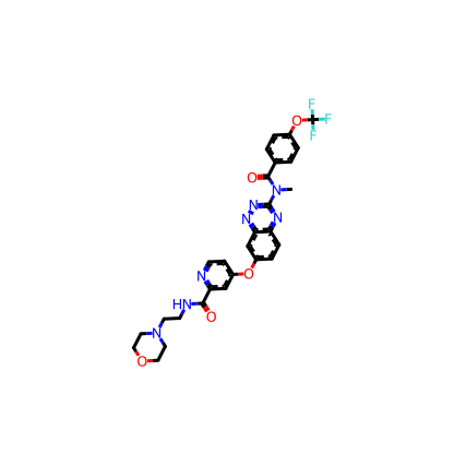 CN(C(=O)c1ccc(OC(F)(F)F)cc1)c1nnc2cc(Oc3ccnc(C(=O)NCCN4CCOCC4)c3)ccc2n1